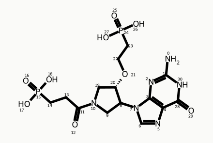 Nc1nc2c(ncn2C2CN(C(=O)CCP(=O)(O)O)C[C@@H]2OCCP(=O)(O)O)c(=O)[nH]1